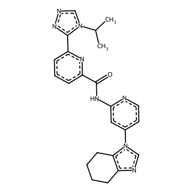 CC(C)n1cnnc1-c1cccc(C(=O)Nc2cc(-n3cnc4c3CCCC4)ccn2)n1